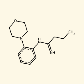 CCCC(=N)Nc1ccccc1N1CCOCC1